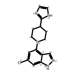 Clc1cc(N2CCC(c3ncc[nH]3)CC2)c2cn[nH]c2c1